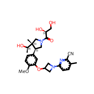 COc1ccc([C@@H]2CN(C(=O)[C@@H](O)CO)C[C@@]2(C)[C@@H](C)O)cc1OC1CN(c2ccc(C)c(C#N)n2)C1